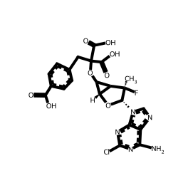 C[C@@]1(F)C2C(OC(Cc3ccc(C(=O)O)cc3)(C(=O)O)C(=O)O)[C@H]2O[C@H]1n1cnc2c(N)nc(Cl)nc21